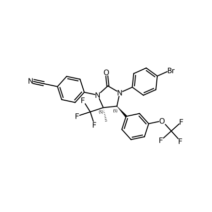 C[C@@]1(C(F)(F)F)[C@H](c2cccc(OC(F)(F)F)c2)N(c2ccc(Br)cc2)C(=O)N1c1ccc(C#N)cc1